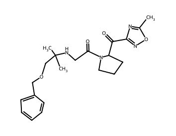 Cc1nc(C(=O)C2CCCN2C(=O)CNC(C)(C)COCc2ccccc2)no1